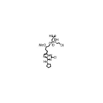 CO[C@@H](CCc1cnc2c(NC3CCCC3)nc(Cl)nn12)COP(=O)(CP(=O)(O)O)OCCC#N